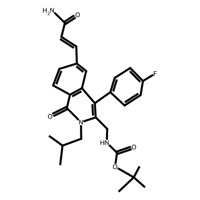 CC(C)Cn1c(CNC(=O)OC(C)(C)C)c(-c2ccc(F)cc2)c2cc(/C=C/C(N)=O)ccc2c1=O